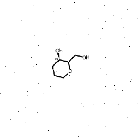 OCC1OCCC[C@H]1O